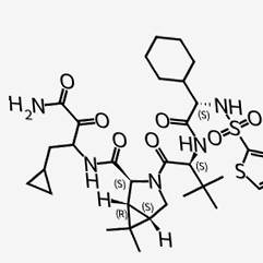 CC(C)(C)[C@H](NC(=O)[C@@H](NS(=O)(=O)c1cccs1)C1CCCCC1)C(=O)N1C[C@H]2[C@@H]([C@H]1C(=O)NC(CC1CC1)C(=O)C(N)=O)C2(C)C